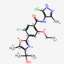 Cc1n[nH]c(Cl)c1NC(=O)c1cc(F)c(-c2nc(C(C)(C)O)c(C)o2)cc1OCC(F)(F)F